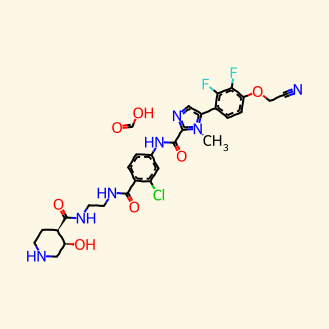 Cn1c(-c2ccc(OCC#N)c(F)c2F)cnc1C(=O)Nc1ccc(C(=O)NCCNC(=O)[C@@H]2CCNC[C@@H]2O)c(Cl)c1.O=CO